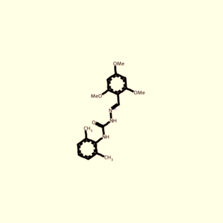 COc1cc(OC)c(/C=N/NC(=O)Nc2c(C)cccc2C)c(OC)c1